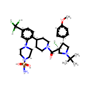 COc1ccc([C@@H]2CN(C(C)(C)C)C[C@@]2(F)C(=O)N2CCC(c3ccc(C(F)(F)F)cc3N3CCN(S(N)(=O)=O)CC3)CC2)cc1